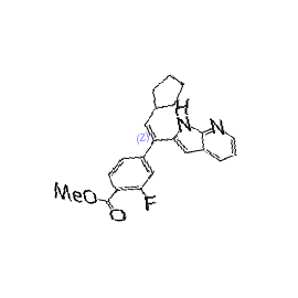 COC(=O)c1ccc(/C(=C/C2CCCC2)c2cc3cccnc3[nH]2)cc1F